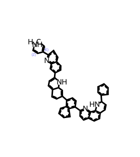 C/C=C(\C=C/N)c1ccc2ccc(C3=CC=C4C=CC(c5ccc(-c6ccc7ccc8c(c7n6)NC(c6ccccc6)C=C8)c6ccccc56)=CC4N3)cc2n1